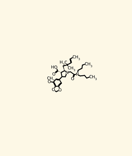 C/C=C/C(C)(C)C[C@@H]1[C@@H](C(=O)O)C(c2cc(OC)c3c(c2)OCO3)CN1CC(=O)N(CCCC)CCCC